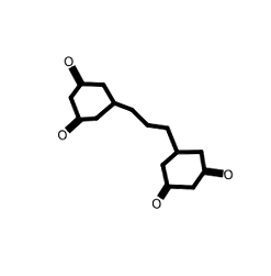 O=C1CC(=O)CC(CCCC2CC(=O)CC(=O)C2)C1